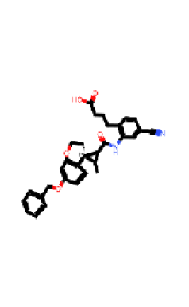 CC1C(C(=O)Nc2cc(C#N)ccc2CCCC(=O)O)[C@@]12CCOc1cc(OCc3ccccc3)ccc12